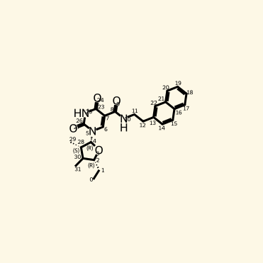 CC[C@H]1O[C@@H](n2cc(C(=O)NCCc3ccc4ccccc4c3)c(=O)[nH]c2=O)[C@@H](C)C1C